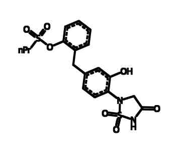 CCCS(=O)(=O)Oc1ccccc1Cc1ccc(N2CC(=O)NS2(=O)=O)c(O)c1